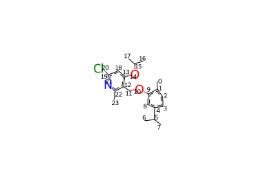 Cc1ccc(C(C)C)cc1OCc1c(OC(C)C)cc(Cl)nc1C